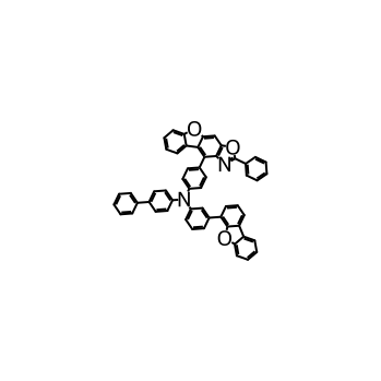 c1ccc(-c2ccc(N(c3ccc(-c4c5nc(-c6ccccc6)oc5cc5oc6ccccc6c45)cc3)c3cccc(-c4cccc5c4oc4ccccc45)c3)cc2)cc1